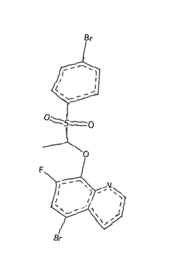 CC(Oc1c(F)cc(Br)c2cccnc12)S(=O)(=O)c1ccc(Br)cc1